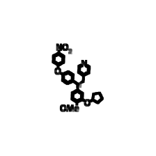 COc1ccc([C@H](Cc2ccncc2)c2ccc(Oc3ccc([N+](=O)[O-])cc3)cc2)cc1OC1CCCC1